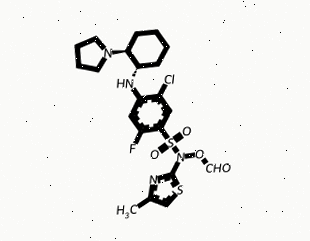 Cc1csc(N(OC=O)S(=O)(=O)c2cc(Cl)c(N[C@H]3CCCC[C@@H]3N3CCCC3)cc2F)n1